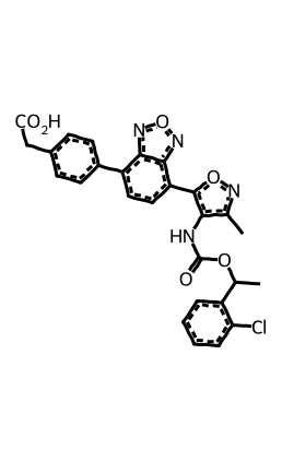 Cc1noc(-c2ccc(-c3ccc(CC(=O)O)cc3)c3nonc23)c1NC(=O)OC(C)c1ccccc1Cl